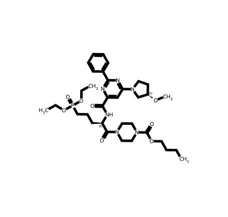 CCCCOC(=O)N1CCN(C(=O)[C@@H](CCCP(=O)(OCC)OCC)NC(=O)c2cc(N3CC[C@H](OC)C3)nc(-c3ccccc3)n2)CC1